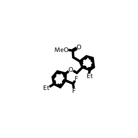 CCc1ccc(OCc2c(CC)cccc2CC(=O)OC)c(C(F)F)c1